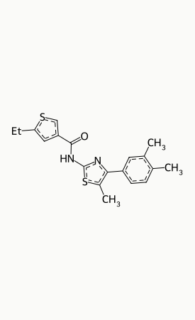 CCc1cc(C(=O)Nc2nc(-c3ccc(C)c(C)c3)c(C)s2)cs1